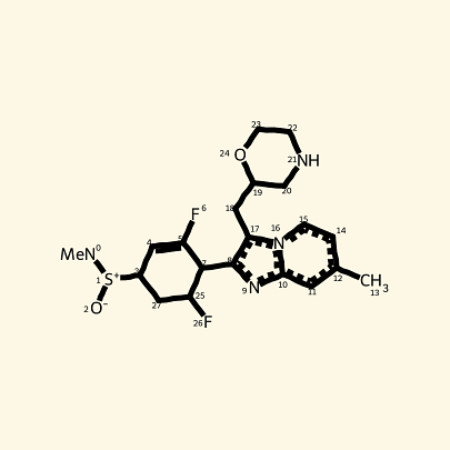 CN[S+]([O-])C1C=C(F)C(c2nc3cc(C)ccn3c2CC2CNCCO2)C(F)C1